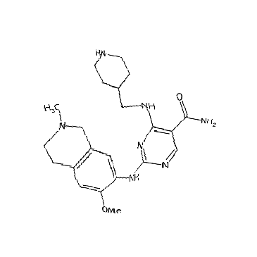 COc1cc2c(cc1Nc1ncc(C(N)=O)c(NCC3CCNCC3)n1)CN(C)CC2